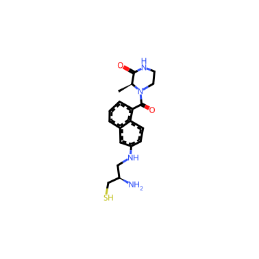 C[C@H]1C(=O)NCCN1C(=O)c1cccc2cc(NC[C@@H](N)CS)ccc12